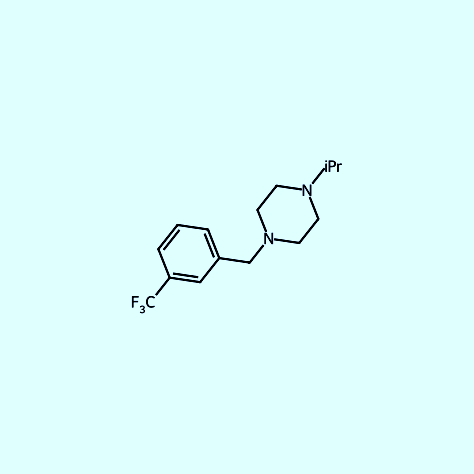 CC(C)N1CCN(Cc2cccc(C(F)(F)F)c2)CC1